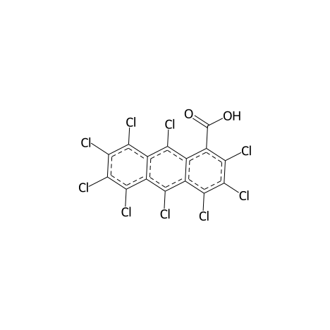 O=C(O)c1c(Cl)c(Cl)c(Cl)c2c(Cl)c3c(Cl)c(Cl)c(Cl)c(Cl)c3c(Cl)c12